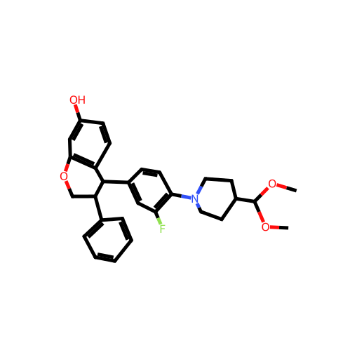 COC(OC)C1CCN(c2ccc(C3c4ccc(O)cc4OCC3c3ccccc3)cc2F)CC1